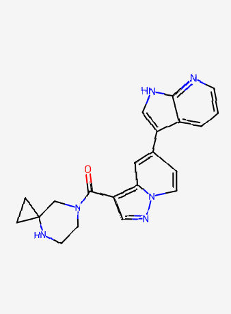 O=C(c1cnn2ccc(-c3c[nH]c4ncccc34)cc12)N1CCNC2(CC2)C1